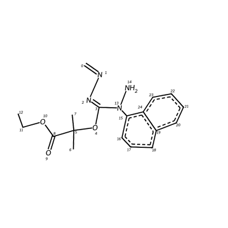 C=N/N=C(/OC(C)(C)C(=O)OCC)N(N)c1cccc2ccccc12